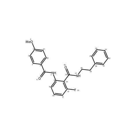 COc1ccc(C(=O)Nc2cccc(F)c2C(=O)NCCc2ccccc2)cc1